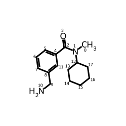 CN(C(=O)c1cccc(CN)c1)C1CCCCC1